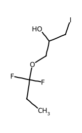 CCC(F)(F)OCC(O)CI